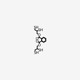 O=C(OCC(S)CS)c1ccccc1C(=O)OCC(S)CS